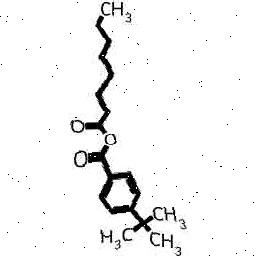 CCCCCCCC(=O)OC(=O)c1ccc(C(C)(C)C)cc1